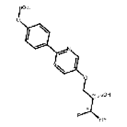 CCCCCCCCOc1ccc(-c2ncc(OC[C@H](O)[C@H](F)CCC)cn2)cc1